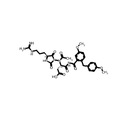 COc1ccc([CH]c2ccc(OC)cc2C(=O)NC(=O)[C@H](CC(=O)O)N(C(C)=O)N2C(=O)N[C@@H](CCCNC(=N)N)C2=O)cc1